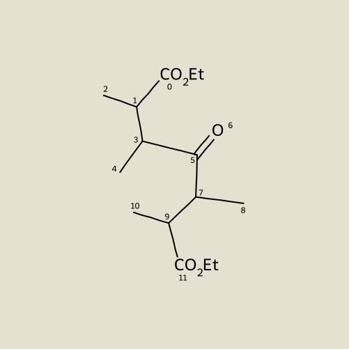 CCOC(=O)C(C)C(C)C(=O)C(C)C(C)C(=O)OCC